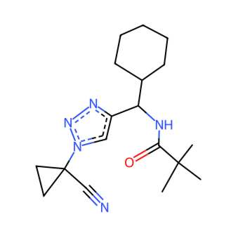 CC(C)(C)C(=O)NC(c1cn(C2(C#N)CC2)nn1)C1CCCCC1